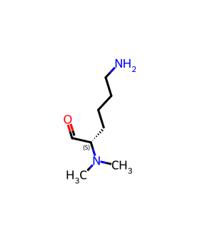 CN(C)[C@H](C=O)CCCCN